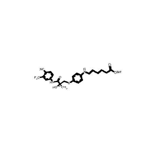 COC(=O)CCCCCNc1ccc(SC[C@](C)(O)C(=O)Nc2ccc(C#N)c(C(F)(F)F)c2)cc1